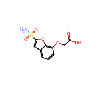 NS(=O)(=O)c1cc2cccc(OCC(=O)O)c2o1